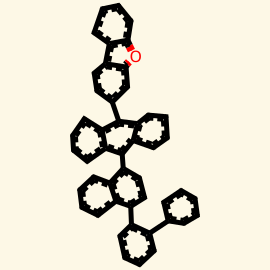 c1ccc(-c2ccccc2-c2ccc(-c3c4ccccc4c(-c4ccc5c(c4)oc4ccccc45)c4ccccc34)c3ccccc23)cc1